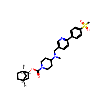 CN(Cc1ccc(-c2ccc(S(C)(=O)=O)cc2)nc1)C1CCN(C(=O)O[C@@H]2C[C@@H]3CC[C@@H]2C3)CC1